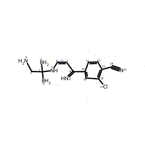 BC(B)(CN)N/C=C\C(=N)c1ccc(C#N)c(Cl)c1